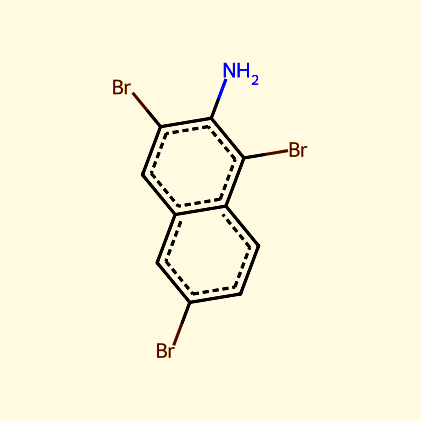 Nc1c(Br)cc2cc(Br)ccc2c1Br